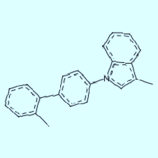 Cc1ccccc1-c1ccc(-n2cc(C)c3ccccc32)cc1